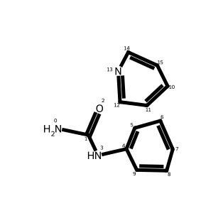 NC(=O)Nc1cc[c]cc1.c1ccncc1